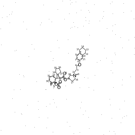 C[N+]1(CCCOc2ccc3c(c2)CCCC3)CCC(OC(=O)C(OC(=O)C(F)(F)F)(c2ccccc2)C2CCCC2)C1